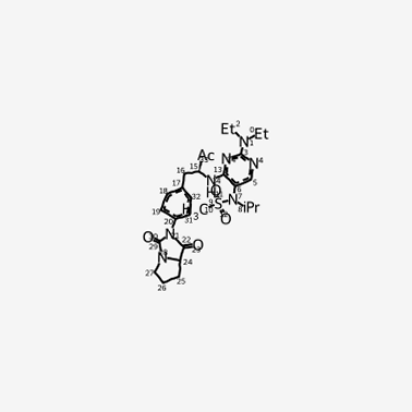 CCN(CC)c1ncc(N(C(C)C)S(C)(=O)=O)c(N[C@@H](Cc2ccc(N3C(=O)C4CCCN4C3=O)cc2)C(C)=O)n1